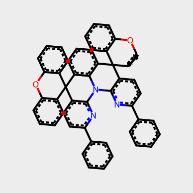 c1ccc(-c2ccc3c(n2)N2c4nc(-c5ccccc5)ccc4C4(c5ccccc5Oc5ccccc54)c4cccc(c42)C32c3ccccc3Oc3ccccc32)cc1